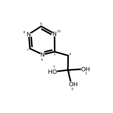 OC(O)(O)Cc1ncncn1